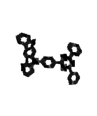 c1ccc(-c2nc(-c3ccccc3)nc(-c3ccc(-n4c5cc6sc7ccccc7c6cc5c5ncccc54)cc3)n2)cc1